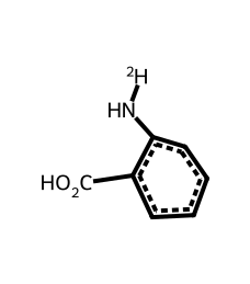 [2H]Nc1ccccc1C(=O)O